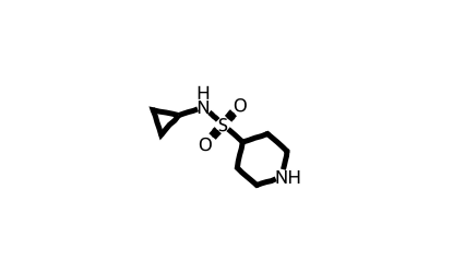 O=S(=O)(NC1CC1)C1CCNCC1